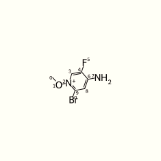 CO[n+]1cc(F)c(N)cc1Br